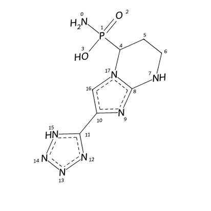 NP(=O)(O)C1CCNc2nc(-c3nnn[nH]3)cn21